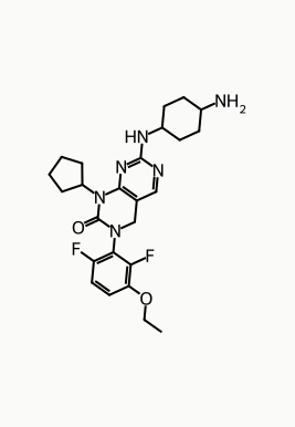 CCOc1ccc(F)c(N2Cc3cnc(NC4CCC(N)CC4)nc3N(C3CCCC3)C2=O)c1F